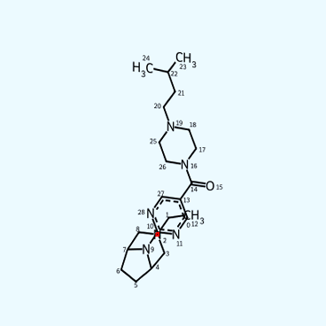 CCN1CC2CCC(C1)N2c1ncc(C(=O)N2CCN(CCC(C)C)CC2)cn1